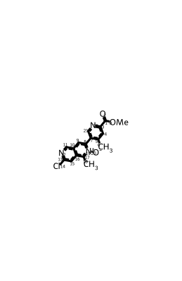 COC(=O)c1cc(C)c(-c2cc3cnc(Cl)cc3c(C)[n+]2[O-])cn1